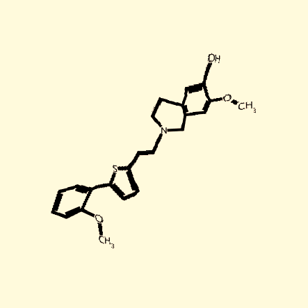 COc1cc2c(cc1O)CCN(CCc1ccc(-c3ccccc3OC)s1)C2